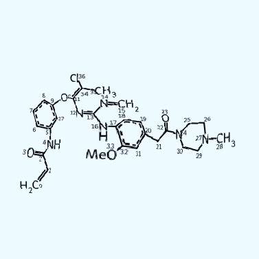 C=CC(=O)Nc1cccc(OC(/N=C(\N=C)Nc2ccc(CC(=O)N3CCN(C)CC3)cc2OC)=C(/C)Cl)c1